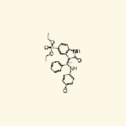 CCOP(=O)(OCC)c1ccc2c(c1)/C(=C(/Nc1ccc(Cl)cc1)c1ccccc1)C(=O)N2